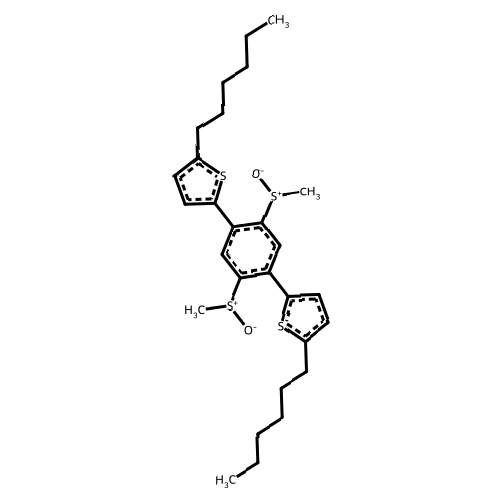 CCCCCCc1ccc(-c2cc([S+](C)[O-])c(-c3ccc(CCCCCC)s3)cc2[S+](C)[O-])s1